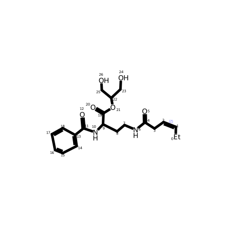 CC/C=C\CC(=O)NCCC(NC(=O)c1ccccc1)C(=O)OC(CO)CO